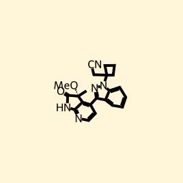 CO[C@@]1(C)C(=O)Nc2nccc(-c3nn(C4(CC#N)CCC4)c4ccccc34)c21